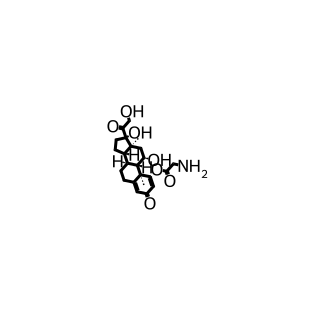 C[C@@]12C(=CC(=O)C=C1OC(=O)CN)CC[C@@H]1[C@@H]2[C@@H](O)C[C@@]2(C)[C@H]1CC[C@]2(O)C(=O)CO